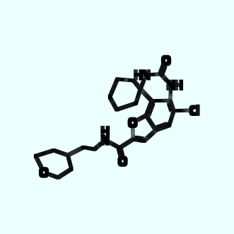 O=C1Nc2c(Cl)cc3cc(C(=O)NCCC4CCOCC4)oc3c2C2(CCCCC2)N1